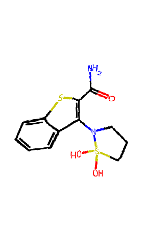 NC(=O)c1sc2ccccc2c1N1CCCS1(O)O